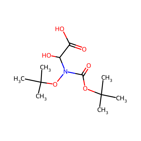 CC(C)(C)OC(=O)N(OC(C)(C)C)C(O)C(=O)O